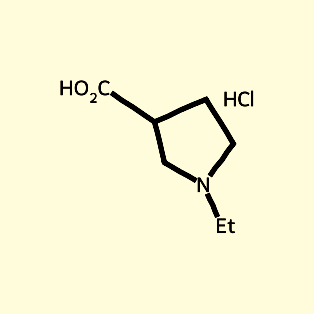 CCN1CCC(C(=O)O)C1.Cl